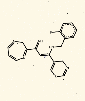 N=C(/C=C(\NCc1ccccc1F)C1=CSC=NC1)C1=NC=CC=NC1